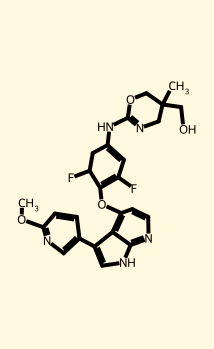 COc1ccc(-c2c[nH]c3nccc(OC4=C(F)C=C(NC5=NCC(C)(CO)CO5)CC4F)c23)cn1